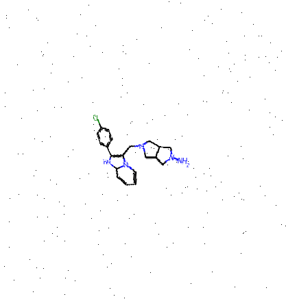 NN1CC2CN(CC3=C(c4ccc(Cl)cc4)NC4C=CC=CN34)CC2C1